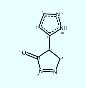 O=C1N=NCC1c1ccn[nH]1